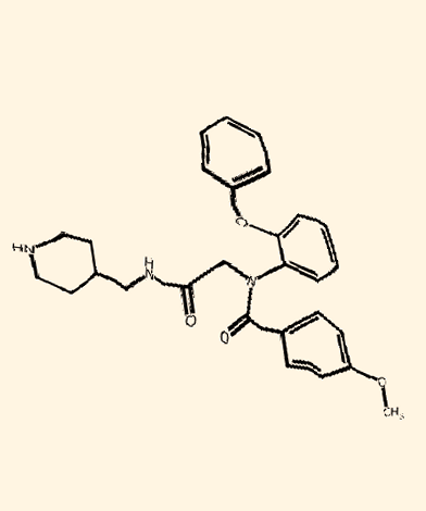 COc1ccc(C(=O)N(CC(=O)NCC2CCNCC2)c2ccccc2Oc2ccccc2)cc1